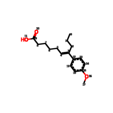 CCCC(=CCCCCC(=O)O)c1ccc(OC)cc1